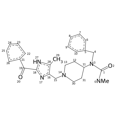 CNC(=O)N(Cc1ccccc1)C1CCN(Cc2nc(C(=O)c3ccccc3)[nH]c2C)CC1